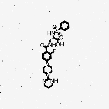 O=C(NC[C@H](NS(=O)(=O)c1ccccc1)C(=O)O)c1ccc(N2CCN(C3=NCCCN3)CC2)cc1F